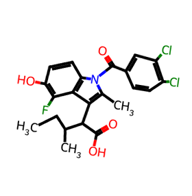 CCC(C)C(C(=O)O)c1c(C)n(C(=O)c2ccc(Cl)c(Cl)c2)c2ccc(O)c(F)c12